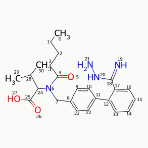 CCCCC(=O)N(Cc1ccc(-c2ccccc2C(=N)NN)cc1)C(C(=O)O)C(C)C